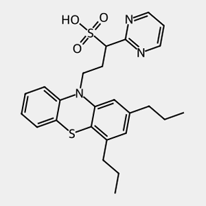 CCCc1cc(CCC)c2c(c1)N(CCC(c1ncccn1)S(=O)(=O)O)c1ccccc1S2